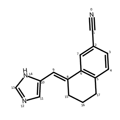 N#Cc1ccc2c(c1)C(=Cc1cnc[nH]1)CCC2